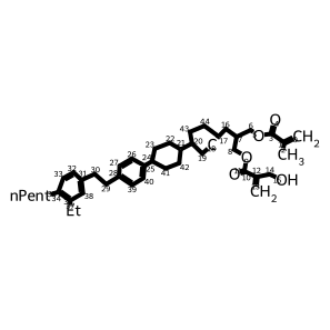 C=C(C)C(=O)OCC(COC(=O)C(=C)CO)CC1CCC(C2CCC(c3ccc(CCc4ccc(CCCCC)c(CC)c4)cc3)CC2)CC1